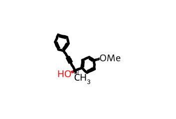 COc1ccc([C@](C)(O)C#Cc2ccccc2)cc1